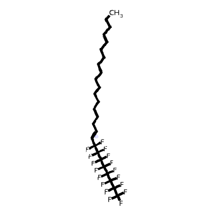 CCCCCCCCCCCCCCCC/C=C/C(F)(F)C(F)(F)C(F)(F)C(F)(F)C(F)(F)C(F)(F)C(F)(F)C(F)(F)F